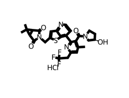 Cc1cc(CC(F)(F)F)nc(-c2ccnc3cc(CN4C(=O)C5C(C4=O)C5(C)C)sc23)c1C(=O)N1CC[C@H](O)C1.Cl